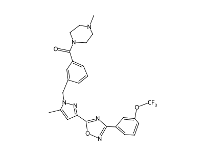 Cc1cc(-c2nc(-c3cccc(OC(F)(F)F)c3)no2)nn1Cc1cccc(C(=O)N2CCN(C)CC2)c1